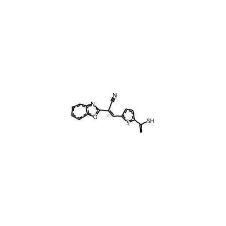 C=C(S)c1ccc(/C=C(\C#N)c2nc3ccccc3o2)s1